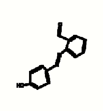 O=Cc1ccccc1N=Nc1ccc(O)cc1